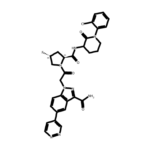 NC(=O)c1nn(CC(=O)N2C[C@H](F)C[C@H]2C(=O)NC2CCCN(c3ccccc3Cl)C2=O)c2ccc(-c3ccnnc3)cc12